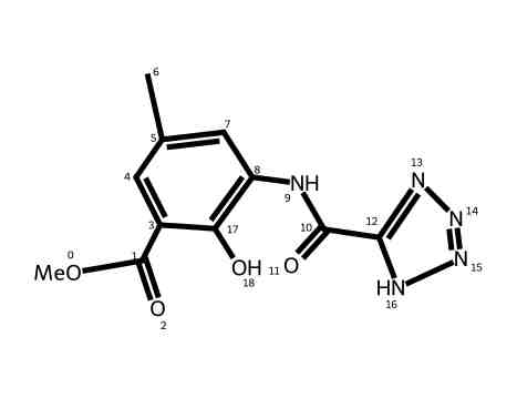 COC(=O)c1cc(C)cc(NC(=O)c2nnn[nH]2)c1O